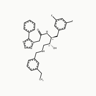 CCc1cccc(CNC[C@@H](O)[C@H](Cc2cc(F)cc(F)c2)NC(=O)Cn2nnnc2-c2ccccc2)c1